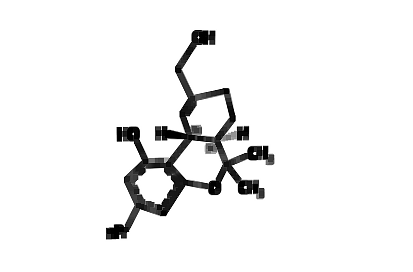 CCCc1cc(O)c2c(c1)OC(C)(C)[C@@H]1CCC(CO)=C[C@@H]21